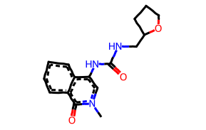 Cn1cc(NC(=O)NCC2CCCO2)c2ccccc2c1=O